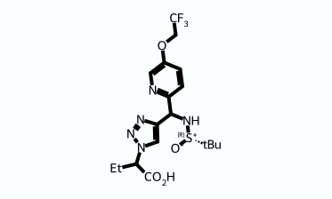 CCC(C(=O)O)n1cc(C(N[S@@+]([O-])C(C)(C)C)c2ccc(OCC(F)(F)F)cn2)nn1